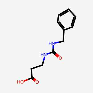 O=C(O)CCNC(=O)NCc1ccccc1